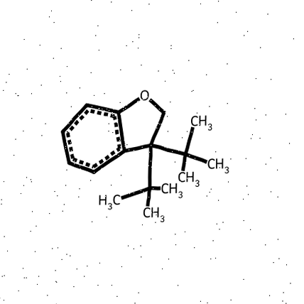 CC(C)(C)C1(C(C)(C)C)COc2ccccc21